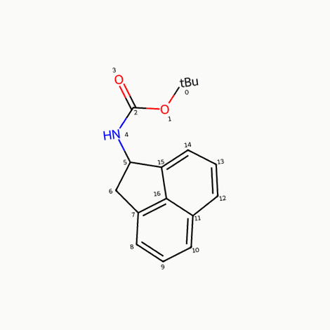 CC(C)(C)OC(=O)NC1Cc2cccc3cccc1c23